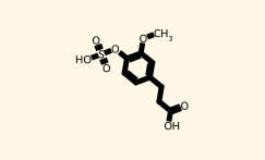 COc1cc(CCC(=O)O)ccc1OS(=O)(=O)O